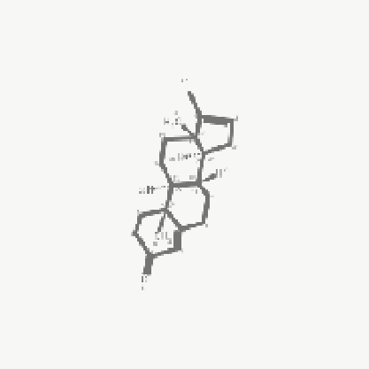 C[C@]12CCC(=O)C=C1CC[C@@H]1[C@@H]2CC[C@]2(C)C(I)=CC[C@@H]12